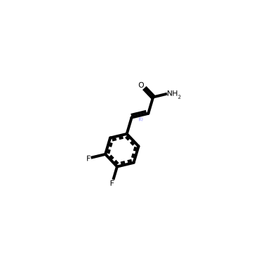 NC(=O)/C=C/c1ccc(F)c(F)c1